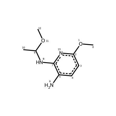 COc1ccc(N)c(NC(C)OC)n1